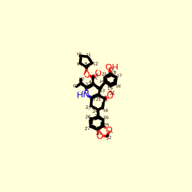 CC(C)C1=C(C(=O)OC2CCCC2)C(c2cccc(O)c2)C2=C(CC(c3ccc4c(c3)OCO4)CC2=O)N1